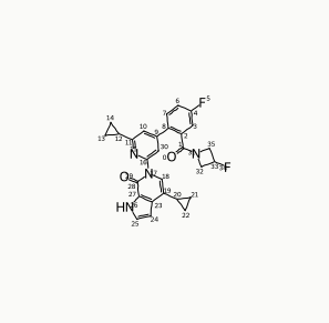 O=C(c1cc(F)ccc1-c1cc(C2CC2)nc(-n2cc(C3CC3)c3cc[nH]c3c2=O)c1)N1CC(F)C1